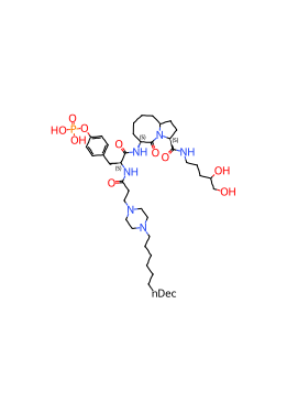 CCCCCCCCCCCCCCCCN1CCN(CCC(=O)N[C@@H](Cc2ccc(OP(=O)(O)O)cc2)C(=O)N[C@H]2CCCCC3CC[C@@H](C(=O)NCCCC(O)CO)N3C2=O)CC1